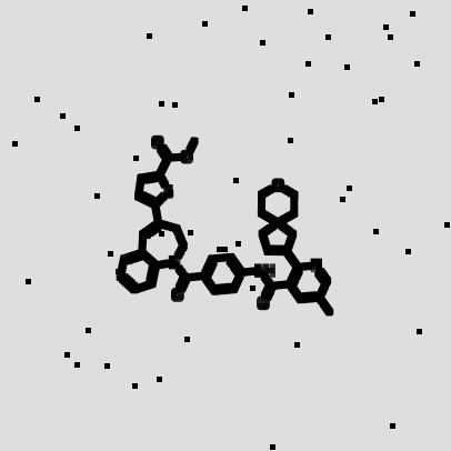 COC(=O)c1ccc(C2=Cc3ccccc3N(C(=O)c3ccc(NC(=O)c4cc(C)cnc4C4=CCC5(CCOCC5)C4)cc3)CC2)s1